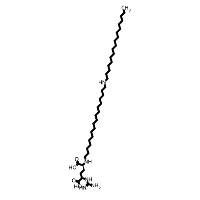 CCCCCCCCCCCCCCCCCCNCCCCCCCCCCCCCCCCCCN[C@@H](CCC(NC(=N)N)C(=O)O)C(=O)O